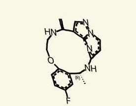 C=C1NCCOc2ccc(F)cc2[C@@H](C)Nc2ccn3ncc1c3n2